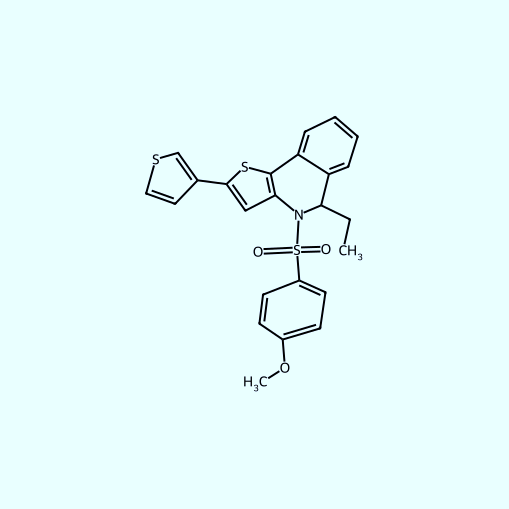 CCC1c2ccccc2-c2sc(-c3ccsc3)cc2N1S(=O)(=O)c1ccc(OC)cc1